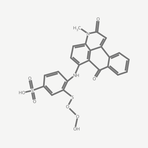 Cn1c(=O)cc2c3c(c(Nc4ccc(S(=O)(=O)O)cc4SOOO)ccc31)C(=O)c1ccccc1-2